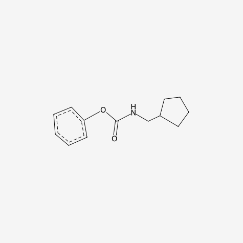 O=C(NCC1CCCC1)Oc1ccccc1